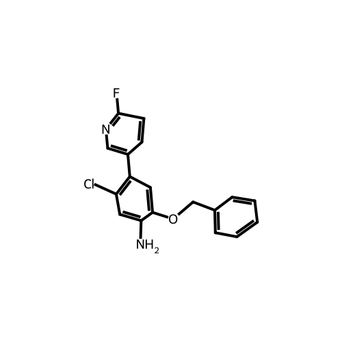 Nc1cc(Cl)c(-c2ccc(F)nc2)cc1OCc1ccccc1